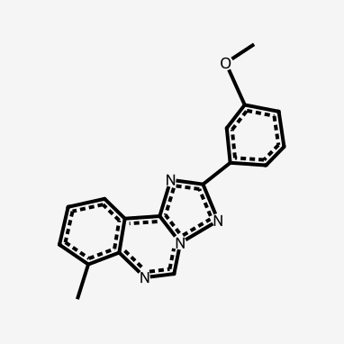 COc1cccc(-c2nc3c4cccc(C)c4ncn3n2)c1